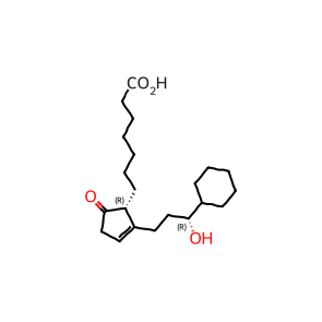 O=C(O)CCCCCC[C@H]1C(=O)CC=C1CC[C@@H](O)C1CCCCC1